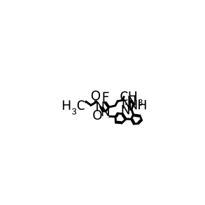 CCCCc1c(F)n(C(=O)CCC)c(=O)n1Cc1ccc(-c2ccccc2-c2nnn[nH]2)cc1